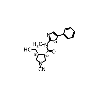 CN(C(=O)[C@@H]1CN(C#N)C[C@H]1CO)c1ncc(-c2ccccc2)s1